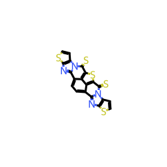 S=c1c2sc3c(=S)n4c5ccsc5nc4c4ccc(c2c34)c2nc3sccc3n12